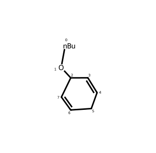 CCCCOC1C=CCC=C1